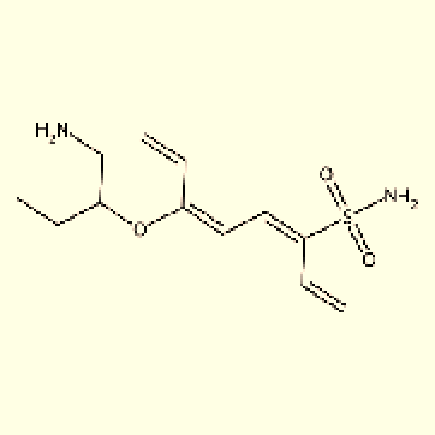 C=C/C(=C\C=C(/C=C)S(N)(=O)=O)OC(CC)CN